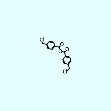 O=C(OC(=O)c1ccc(CCl)cc1)c1ccc(CCl)cc1